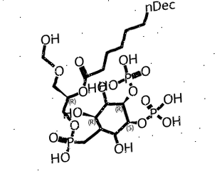 CCCCCCCCCCCCCCCC(=O)O[C@H](COCO)COP(=O)(O)CC1C(O)[C@H](OP(=O)(O)O)[C@H](OP(=O)(O)O)C(O)[C@@H]1O